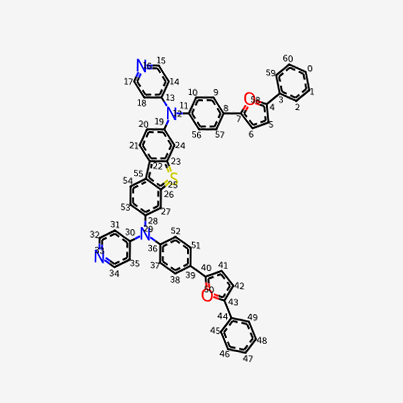 c1ccc(-c2ccc(-c3ccc(N(c4ccncc4)c4ccc5c(c4)sc4cc(N(c6ccncc6)c6ccc(-c7ccc(-c8ccccc8)o7)cc6)ccc45)cc3)o2)cc1